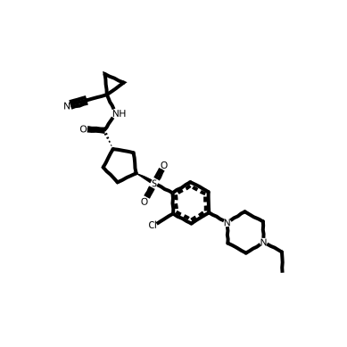 CCN1CCN(c2ccc(S(=O)(=O)[C@H]3CC[C@H](C(=O)NC4(C#N)CC4)C3)c(Cl)c2)CC1